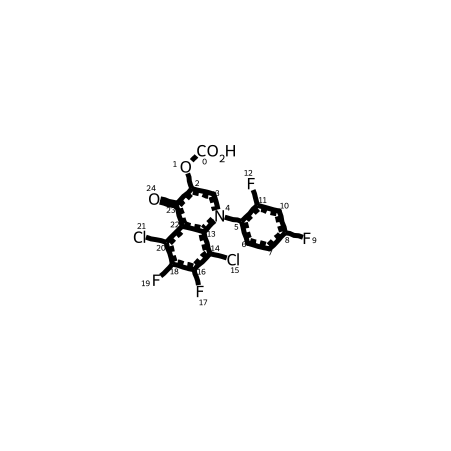 O=C(O)Oc1cn(-c2ccc(F)cc2F)c2c(Cl)c(F)c(F)c(Cl)c2c1=O